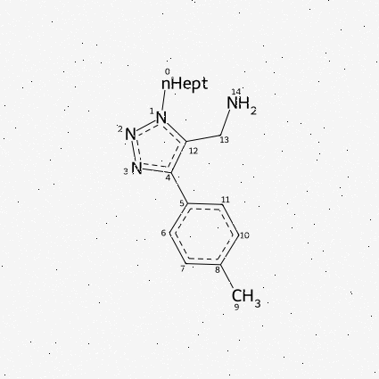 CCCCCCCn1nnc(-c2ccc(C)cc2)c1CN